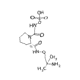 CC(C)(N)CONC(=O)[C@@H]1CCCCN1C(=O)NOS(=O)(=O)O